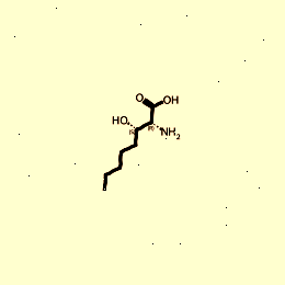 CCCCC[C@H](O)[C@@H](N)C(=O)O